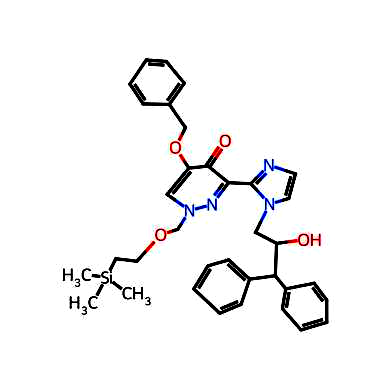 C[Si](C)(C)CCOCn1cc(OCc2ccccc2)c(=O)c(-c2nccn2CC(O)C(c2ccccc2)c2ccccc2)n1